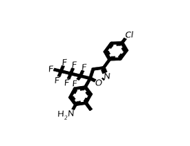 Cc1cc(C2(C(F)(F)C(F)(F)C(F)(F)F)CC(c3ccc(Cl)cc3)=NO2)ccc1N